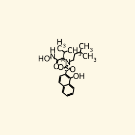 CC(C)CCN([C@@H](C(=O)NO)C(C)C)S(=O)(=O)c1ccc2ccccc2c1O